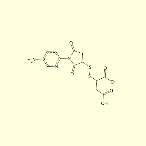 CC(=O)C(CC(=O)O)SSC1CC(=O)N(c2ccc(N)cn2)C1=O